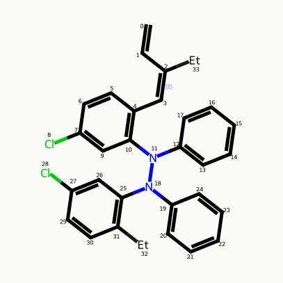 C=C/C(=C\c1ccc(Cl)cc1N(c1ccccc1)N(c1ccccc1)c1cc(Cl)ccc1CC)CC